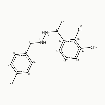 Cc1ccc(CNNC(C)c2cccc(Cl)c2Cl)cc1